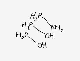 NP.OP.OP